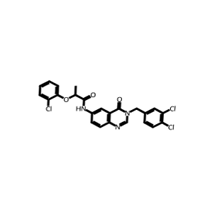 CC(Oc1ccccc1Cl)C(=O)Nc1ccc2ncn(Cc3ccc(Cl)c(Cl)c3)c(=O)c2c1